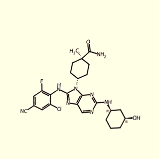 C[C@]1(C(N)=O)CC[C@H](n2c(Nc3c(F)cc(C#N)cc3Cl)nc3cnc(N[C@@H]4CCC[C@H](O)C4)nc32)CC1